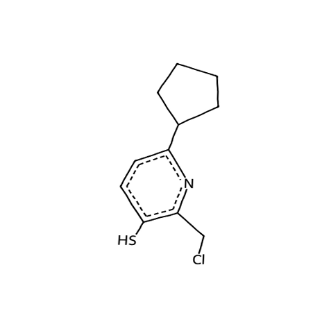 Sc1ccc(C2CCCC2)nc1CCl